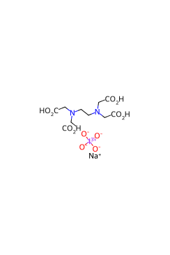 O=C(O)CN(CCN(CC(=O)O)CC(=O)O)CC(=O)O.[Na+].[O-][I+3]([O-])([O-])[O-]